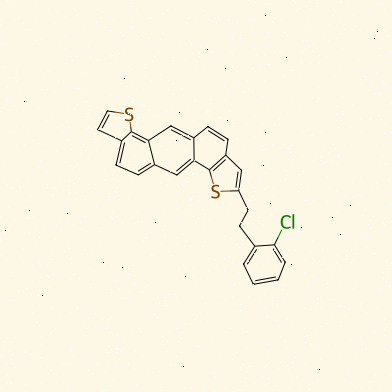 Clc1ccccc1CCc1cc2ccc3cc4c(ccc5ccsc54)cc3c2s1